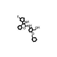 O=C(Nc1ccc(OCc2ccccc2)c(CO)c1)c1[nH]c2ccc(F)cc2c1-c1ccccc1